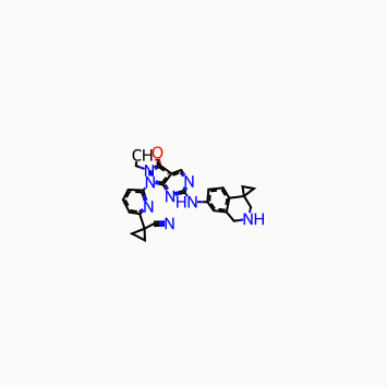 CCn1c(=O)c2cnc(Nc3ccc4c(c3)CNCC43CC3)nc2n1-c1cccc(C2(C#N)CC2)n1